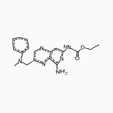 CCOC(=O)Nc1cc2ncc(CN(C)c3ccccc3)nc2c(N)n1